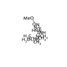 COCCCOc1ncc(F)c(Nc2n[nH]c3c2CN(C(=O)N2CC(C)N(C)C[C@@H]2C)C3(C)C)n1